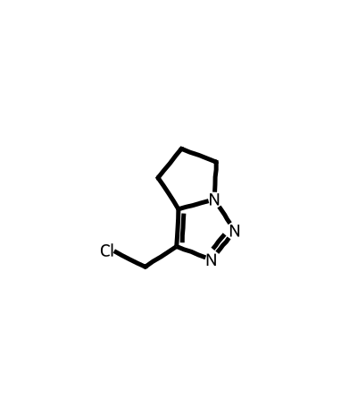 ClCc1nnn2c1CCC2